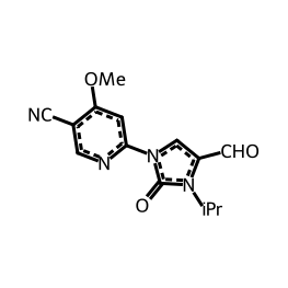 COc1cc(-n2cc(C=O)n(C(C)C)c2=O)ncc1C#N